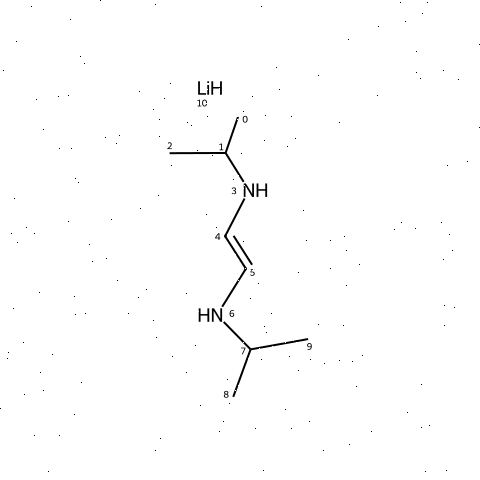 CC(C)NC=CNC(C)C.[LiH]